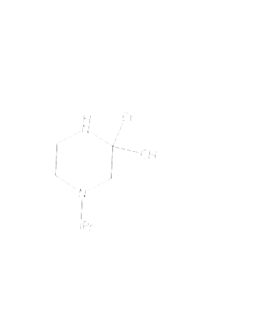 CCC1(C)CN(C(C)C)CCN1